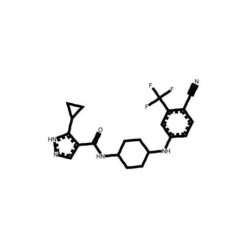 N#Cc1ccc(NC2CCC(NC(=O)c3cn[nH]c3C3CC3)CC2)cc1C(F)(F)F